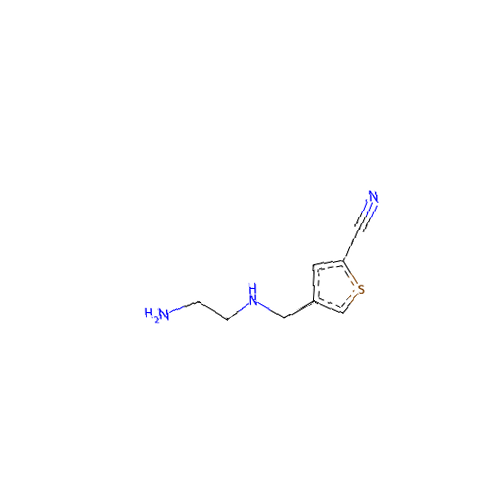 N#Cc1cc(CNCCN)cs1